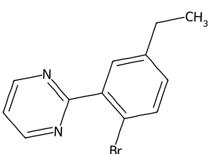 CCc1ccc(Br)c(-c2ncccn2)c1